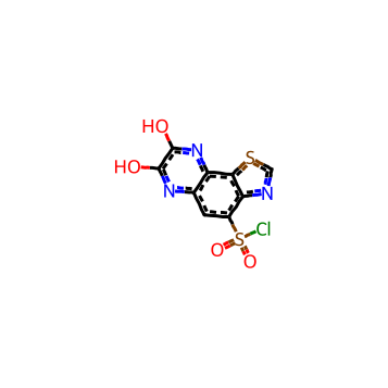 O=S(=O)(Cl)c1cc2nc(O)c(O)nc2c2scnc12